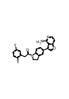 Nc1nccc2occ(-c3ccc4c(c3)CCN4C(=O)Cc3cc(F)ccc3F)c12